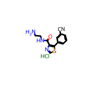 Cl.N#Cc1cccc(-c2scnc2C(=O)NCCN)c1